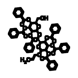 C=CCOC1O[C@H](CO[C@@H]2O[C@H](CO)[C@@H](OC(=O)c3ccccc3)[C@H](OC(=O)c3ccccc3)[C@H]2OC(=O)c2ccccc2)[C@@H](OC(=O)c2ccccc2)[C@H](OC(=O)c2ccccc2)[C@H]1OC(=O)c1ccccc1